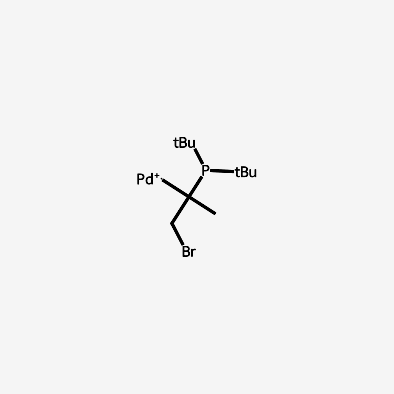 CC(C)(C)P(C(C)(C)C)C(C)(C)CBr.[Pd+]